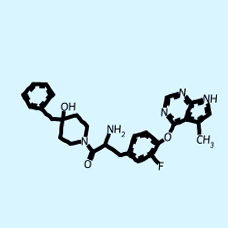 Cc1c[nH]c2ncnc(Oc3ccc(CC(N)C(=O)N4CCC(O)(Cc5ccccc5)CC4)cc3F)c12